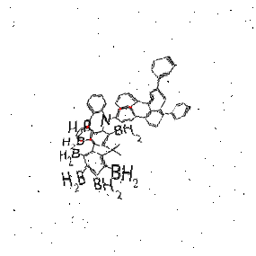 Bc1c(B)c(B)c2c(c1B)-c1c(B)c(B)c(N(c3ccc(-c4ccc(-c5ccccc5)c5cc(-c6ccccc6)cc(-c6ccccc6)c45)cc3)c3ccccc3-c3ccccc3)c(B)c1C2(C)C